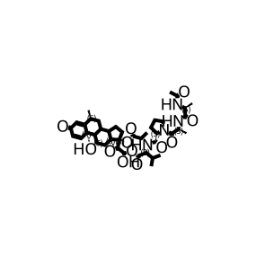 CCC(=O)O[C@]1(C(=O)C(O)OC(=O)[C@@H](NC(=O)[C@@H]2CCCN2C(=O)[C@H](C)NC(=O)[C@H](C)NC(C)=O)C(C)C)CCC2C3C[C@H](C)C4=CC(=O)C=C[C@]4(C)C3[C@@H](O)C[C@@]21C